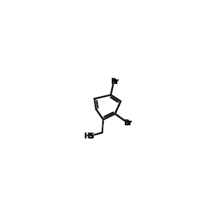 SCc1ccc(Br)cc1Br